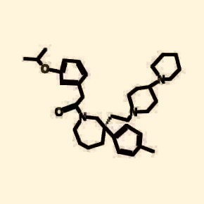 Cc1ccc([C@@]2(CCN3CCC(N4CCCCC4)CC3)CCCCN(C(=O)Cc3cccc(OC(C)C)c3)C2)cc1